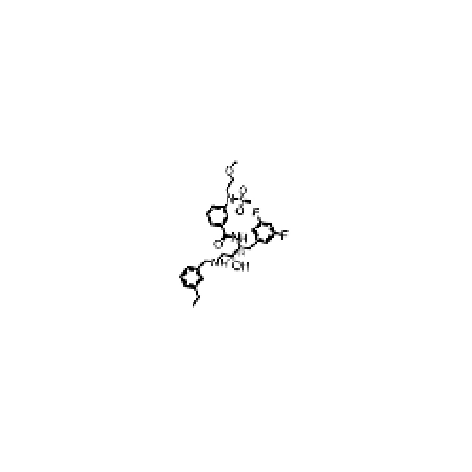 CCc1cccc(CNC[C@@H](O)[C@H](Cc2cc(F)cc(F)c2)NC(=O)c2cccc(N(CCOC)S(C)(=O)=O)c2)c1